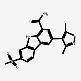 Cc1noc(C)c1-c1cc(C(N)=O)c2[nH]c3cc(S(C)(=O)=O)ccc3c2c1